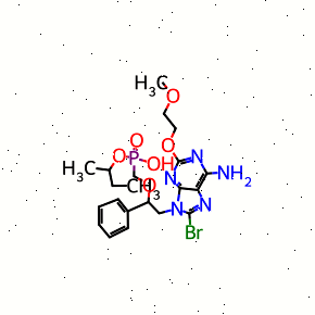 CCC(C)OP(=O)(O)COC(Cn1c(Br)nc2c(N)nc(OCCOC)nc21)c1ccccc1